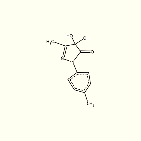 CC1=NN(c2ccc(C)cc2)C(=O)C1(O)O